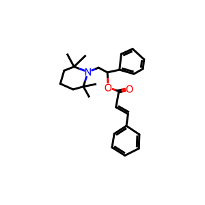 CC1(C)CCCC(C)(C)N1CC(OC(=O)/C=C/c1ccccc1)c1ccccc1